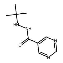 CC(C)(C)NNC(=O)c1cncnc1